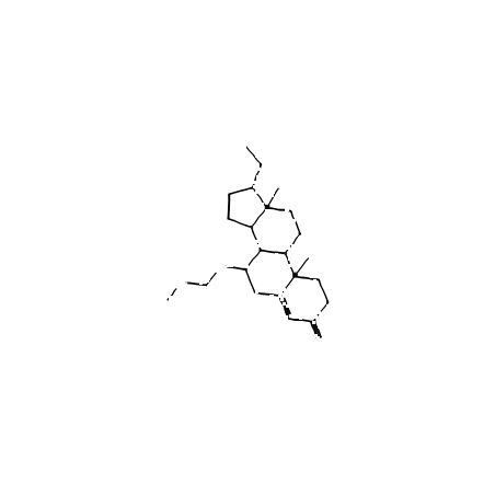 CCC1CCC2C3C(OCOC)CC4=CC(=O)CCC4(C)C3CCC12C